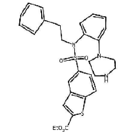 CCOC(=O)c1cc2cc(S(=O)(=O)N(CCc3ccccc3)c3ccccc3N3CCNCC3)ccc2s1